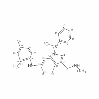 CNCc1cn([S+]([O-])c2cccnc2)c2cc(Nc3ccc(F)nc3C)ccc12